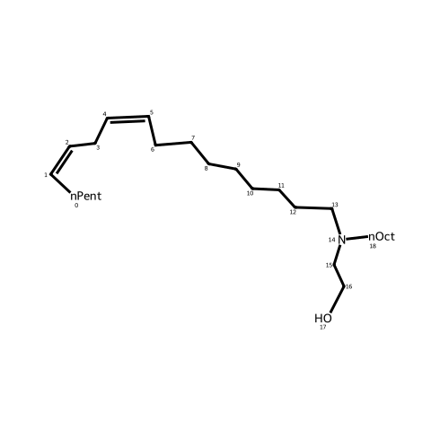 CCCCC/C=C\C/C=C\CCCCCCCCN(CCO)CCCCCCCC